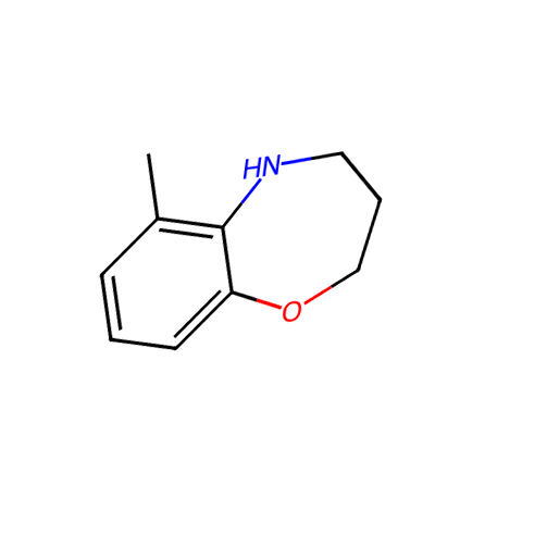 Cc1cccc2c1NCCCO2